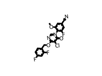 COc1cc(C#N)cc(F)c1-n1cnc(OCc2ccc(F)cc2F)c(Cl)c1=O